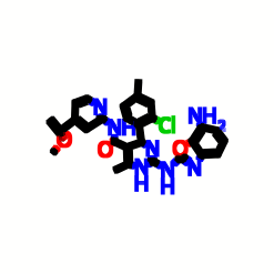 C=C(OC)c1ccnc(NC(=O)C2=C(C)NC(Nc3nc4cccc(N)c4o3)=NC2c2ccc(C)cc2Cl)c1